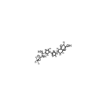 Cc1sc(C(=N)NC(=O)OC(C)(C)C)cc1-c1nc(-c2cccc(OC(C)C(=O)O)c2)cs1